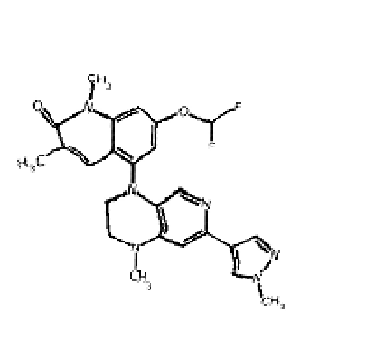 Cc1cc2c(N3CCN(C)c4cc(-c5cnn(C)c5)ncc43)cc(OC(F)F)cc2n(C)c1=O